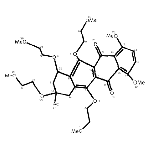 COCCOc1c2c(c(OCCOC)c3c1C(=O)c1c(OC)ccc(OC)c1C3=O)C(OCCOC)CC(OCCOC)(C(C)=O)C2